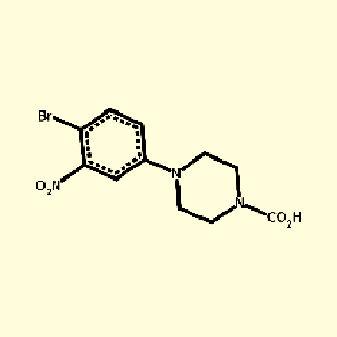 O=C(O)N1CCN(c2ccc(Br)c([N+](=O)[O-])c2)CC1